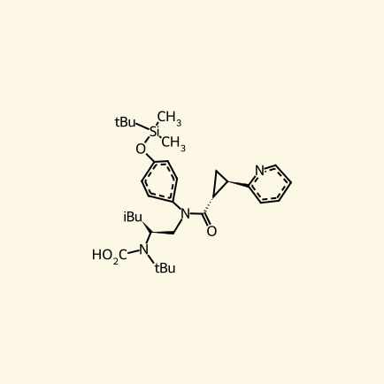 CC[C@H](C)[C@@H](CN(C(=O)[C@@H]1C[C@H]1c1ccccn1)c1ccc(O[Si](C)(C)C(C)(C)C)cc1)N(C(=O)O)C(C)(C)C